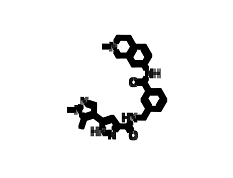 Cc1c(-c2cc(C(=O)NCc3cccc(C(=O)Nc4ccc5c(c4)CN(C)CC5)c3)n[nH]2)cnn1C